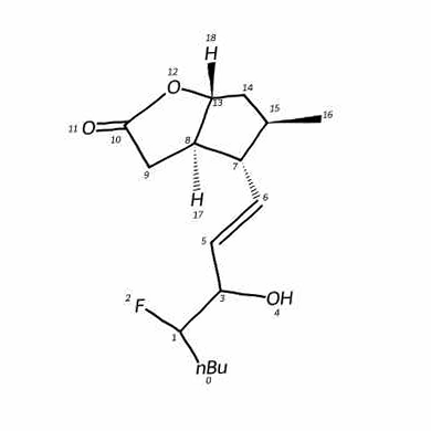 CCCCC(F)C(O)C=C[C@@H]1[C@H]2CC(=O)O[C@@H]2C[C@H]1C